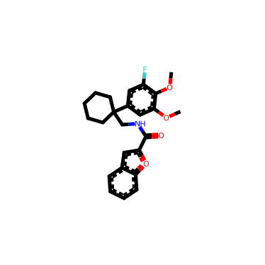 COc1cc(C2(CNC(=O)c3cc4ccccc4o3)CCCCC2)cc(F)c1OC